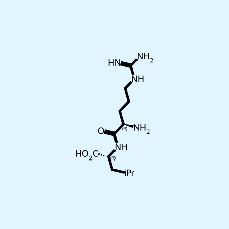 CC(C)C[C@@H](NC(=O)[C@H](N)CCCNC(=N)N)C(=O)O